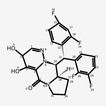 O=C1C2=C(O)C(O)C=NN2[C@@H]([C@H](c2ccc(F)cc2F)c2cccc(F)c2F)[C@H]2CCCN12